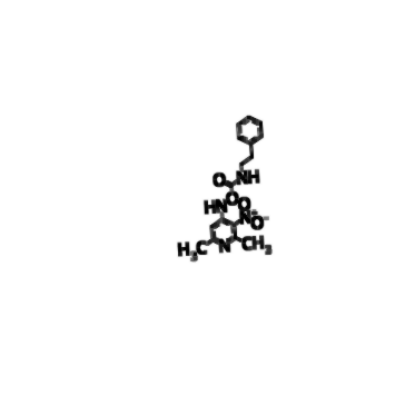 Cc1cc(NOC(=O)NCCc2ccccc2)c([N+](=O)[O-])c(C)n1